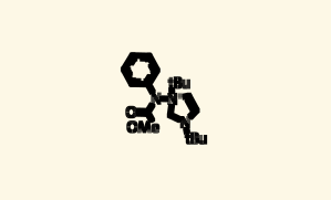 COC(=O)N(c1ccccc1)[N+]1(C(C)(C)C)C=CN(C(C)(C)C)C1